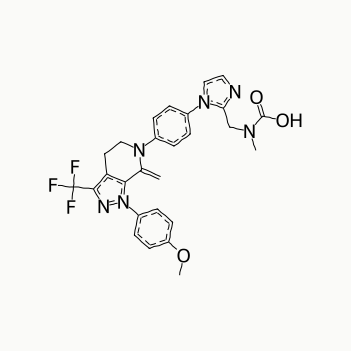 C=C1c2c(c(C(F)(F)F)nn2-c2ccc(OC)cc2)CCN1c1ccc(-n2ccnc2CN(C)C(=O)O)cc1